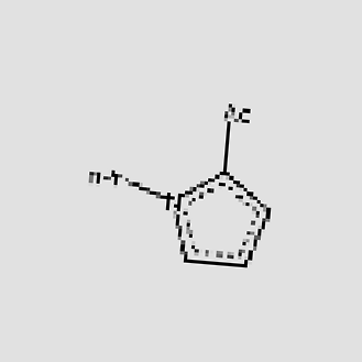 CCCn1cccc1C(C)=O